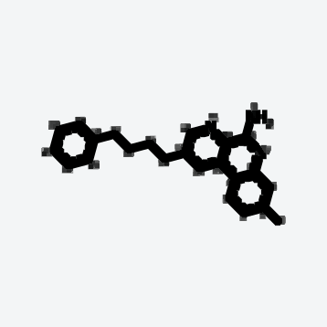 Cc1ccc2c(c1)nc(N)c1ncc(CCCCc3ccccc3)cc12